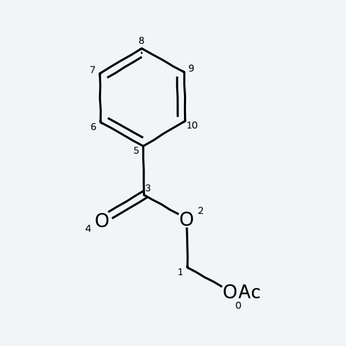 CC(=O)OCOC(=O)c1cc[c]cc1